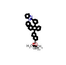 CC1(C)OB(c2ccc3cc(-c4c5ccccc5c(-c5cccc(-c6nc7ccccc7n6-c6ccccc6)c5)c5ccccc45)ccc3c2)OC1(C)C